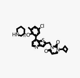 Cc1cc(Cl)cc(-c2ccnc3cc(Cn4c(=O)ccn(C5CCC5)c4=O)sc23)c1O[C@H]1CCCNC1